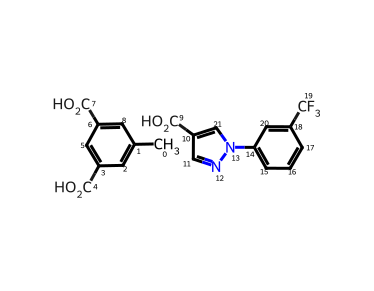 Cc1cc(C(=O)O)cc(C(=O)O)c1.O=C(O)c1cnn(-c2cccc(C(F)(F)F)c2)c1